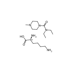 CCN(CC)C(=O)N1CCN(C)CC1.NCCCC[C@H](N)C(=O)O